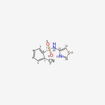 N#Cc1ccccc1S(=O)(=O)Nc1cscn1